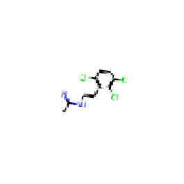 CC(=N)NC=Cc1c(Cl)ccc(Cl)c1Cl